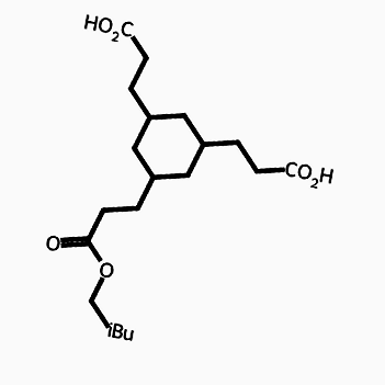 CCC(C)COC(=O)CCC1CC(CCC(=O)O)CC(CCC(=O)O)C1